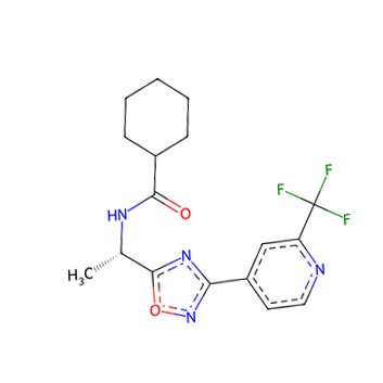 C[C@H](NC(=O)C1CCCCC1)c1nc(-c2ccnc(C(F)(F)F)c2)no1